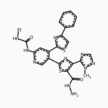 CCNC(=O)Nc1cc(-c2nc(-c3ccccc3)cs2)c(-c2nc(-c3ncnn3C)c(C(=O)NN)s2)cn1